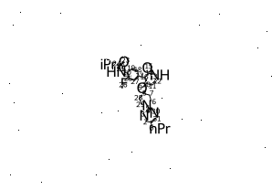 CCCc1cnc(N2CCC(Oc3cc[nH]c(=O)c3-c3ccc(NC(=O)C(C)C)c(F)c3)CC2)nc1